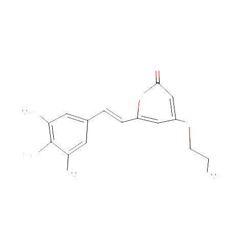 COCCOc1cc(/C=C/c2cc(OC)c(OCC(C)C)c(OC)c2)oc(=O)c1